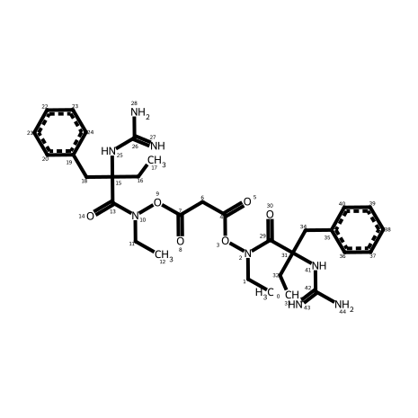 CCN(OC(=O)CC(=O)ON(CC)C(=O)C(CC)(Cc1ccccc1)NC(=N)N)C(=O)C(CC)(Cc1ccccc1)NC(=N)N